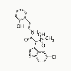 CP(=O)(O)C(C(=O)NC=Cc1ccccc1O)c1csc2ccc(Cl)cc12